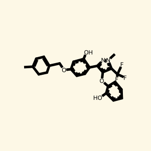 CC1=CC=C(COc2ccc(-c3nn(C)c(C(F)(F)F)c3Oc3ccccc3O)c(O)c2)CC1